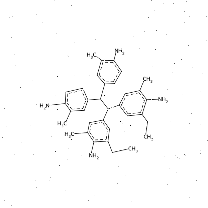 CCc1cc(C(c2cc(C)c(N)c(CC)c2)C(c2ccc(N)c(C)c2)c2ccc(N)c(C)c2)cc(C)c1N